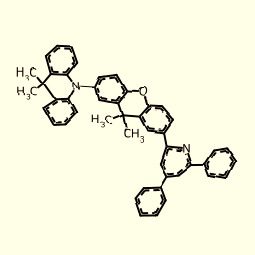 CC1(C)c2cc(-c3cc(-c4ccccc4)cc(-c4ccccc4)n3)ccc2Oc2ccc(N3c4ccccc4C(C)(C)c4ccccc43)cc21